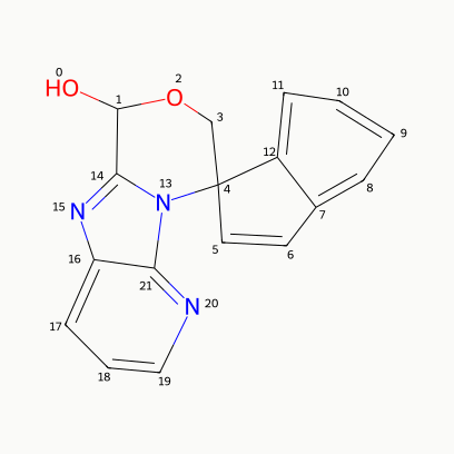 OC1OCC2(C=Cc3ccccc32)n2c1nc1cccnc12